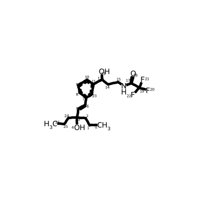 CCCC(O)(C=Cc1cccc(C(O)CCNC(=O)C(F)(F)F)c1)CCC